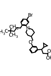 CC(C)(C)CCCc1ccc(Br)cc1N1CCC(COc2cccc(C(CC(=O)O)C3CC3)c2)CC1